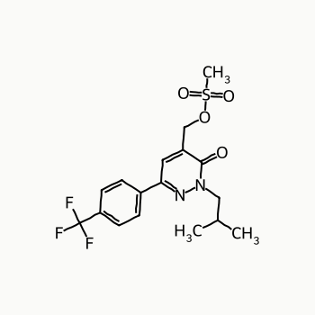 CC(C)Cn1nc(-c2ccc(C(F)(F)F)cc2)cc(COS(C)(=O)=O)c1=O